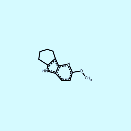 COc1ccc2[nH]c3c(c2n1)CCCC3